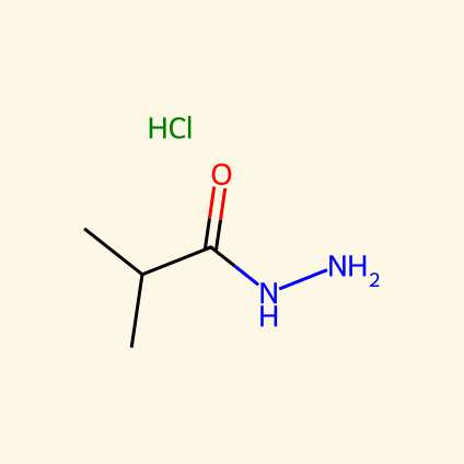 CC(C)C(=O)NN.Cl